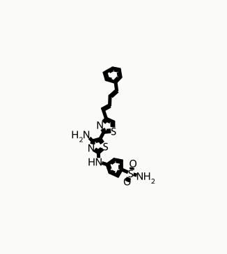 Nc1nc(Nc2ccc(S(N)(=O)=O)cc2)sc1-c1nc(C=CC=Cc2ccccc2)cs1